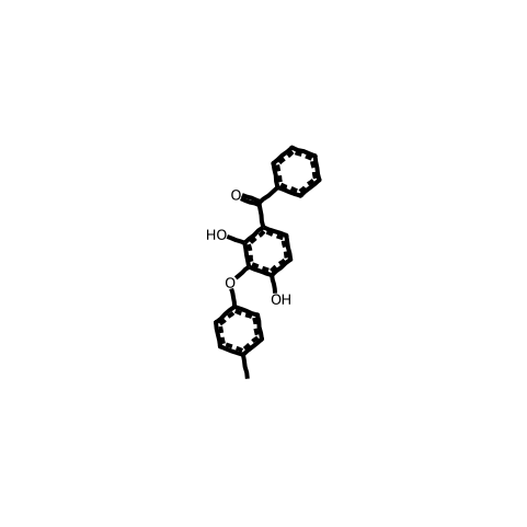 Cc1ccc(Oc2c(O)ccc(C(=O)c3ccccc3)c2O)cc1